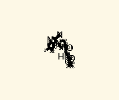 Cc1cc2ncc(C#N)c(N3CCCN(C(=O)CCNC(=O)OC(C)(C)C)CC3)c2cc1C